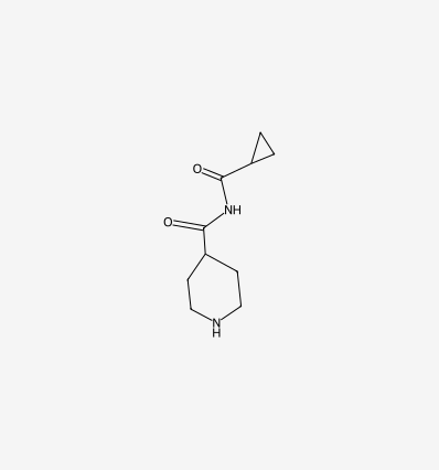 O=C(NC(=O)C1CC1)C1CCNCC1